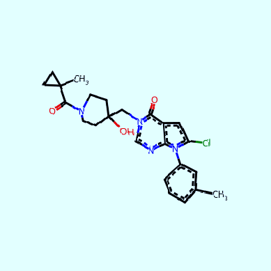 Cc1cccc(-n2c(Cl)cc3c(=O)n(CC4(O)CCN(C(=O)C5(C)CC5)CC4)cnc32)c1